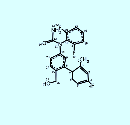 CC1=CC(F)=CCC1c1cc(N(C(N)=O)c2c(F)cccc2F)ccc1CO